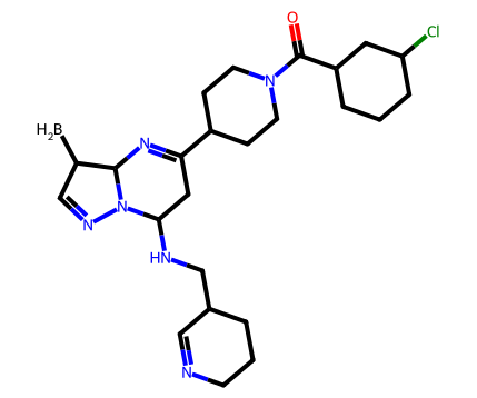 BC1C=NN2C(NCC3C=NCCC3)CC(C3CCN(C(=O)C4CCCC(Cl)C4)CC3)=NC12